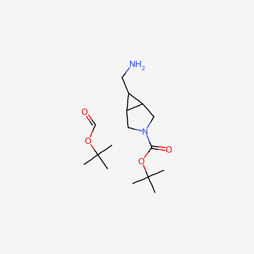 CC(C)(C)OC(=O)N1CC2C(CN)C2C1.CC(C)(C)OC=O